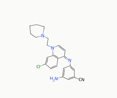 N#Cc1cc(N)cc(/N=c2/ccn(CCN3CCCCC3)c3cc(Cl)ccc23)c1